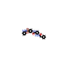 O=C(Cc1ccccc1)Nc1cccc(C(=O)Nc2ccc(S(=O)(=O)Nc3ccccc3)cc2)c1